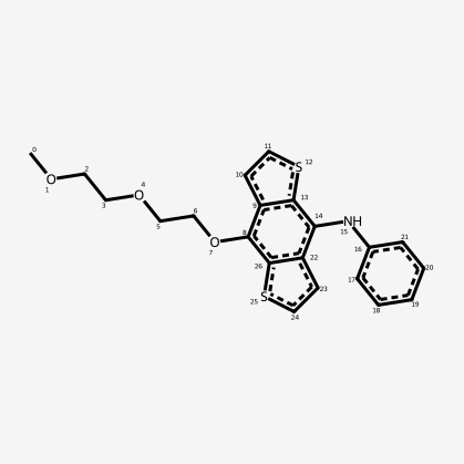 COCCOCCOc1c2ccsc2c(Nc2ccccc2)c2ccsc12